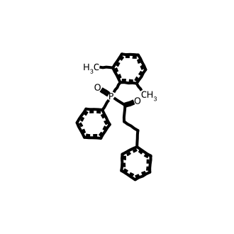 Cc1cccc(C)c1P(=O)(C(=O)CCc1ccccc1)c1ccccc1